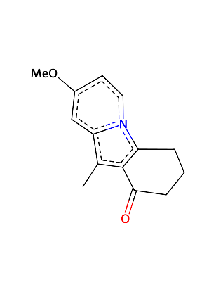 COc1ccn2c3c(c(C)c2c1)C(=O)CCC3